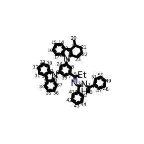 C=C(NC(/N=C(\CC)c1cc(-n2c3c(c4ccccc42)C(C)CC=C3)cc(-n2c3ccccc3c3ccccc32)c1)c1ccccc1)c1ccccc1